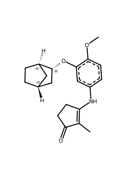 COc1ccc(NC2=C(C)C(=O)CC2)cc1O[C@@H]1C[C@@H]2CC[C@@H]1C2